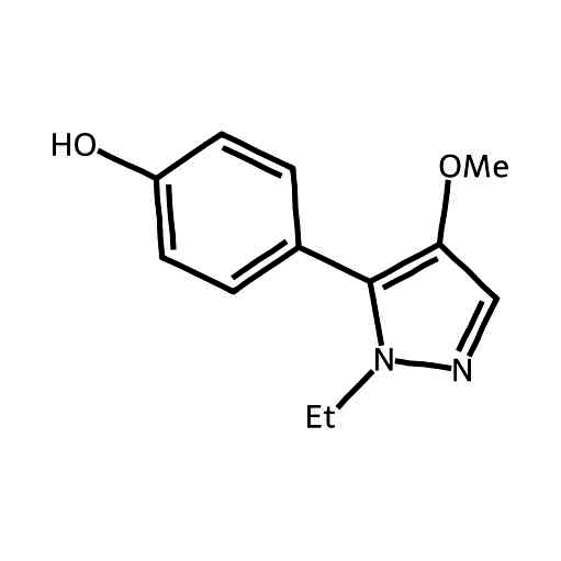 CCn1ncc(OC)c1-c1ccc(O)cc1